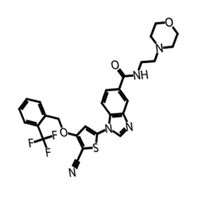 N#Cc1sc(-n2cnc3cc(C(=O)NCCN4CCOCC4)ccc32)cc1OCc1ccccc1C(F)(F)F